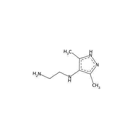 Cc1n[nH]c(C)c1NCCN